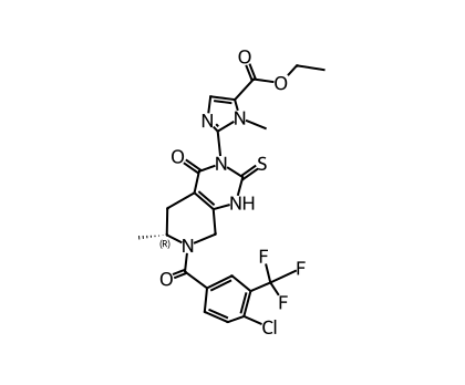 CCOC(=O)c1cnc(-n2c(=S)[nH]c3c(c2=O)C[C@@H](C)N(C(=O)c2ccc(Cl)c(C(F)(F)F)c2)C3)n1C